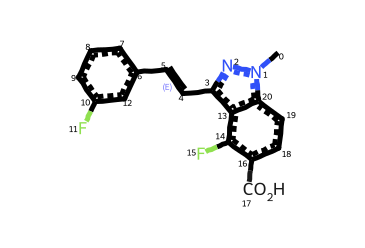 Cn1nc(/C=C/c2cccc(F)c2)c2c(F)c(C(=O)O)ccc21